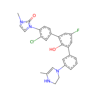 CC1=CN(c2cccc(-c3cc(F)cc(-c4ccc(-n5ccn(C)c5=O)c(Cl)c4)c3O)c2)CCN1